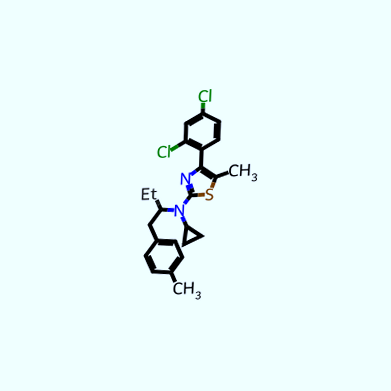 CCC(Cc1ccc(C)cc1)N(c1nc(-c2ccc(Cl)cc2Cl)c(C)s1)C1CC1